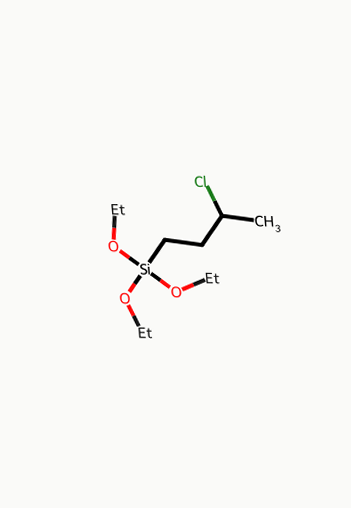 CCO[Si](CCC(C)Cl)(OCC)OCC